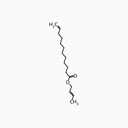 C=CCCCCCCCCCC(=O)OCC=CC